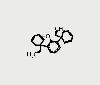 C=CC1(c2cccc(C3(C=C)C=CC=CC3)c2O)C=CC=CC1